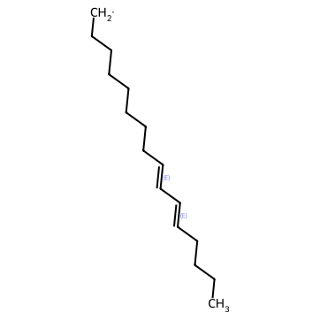 [CH2]CCCCCCC/C=C/C=C/CCCC